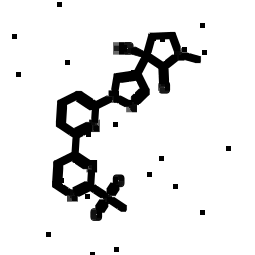 CN1CC[C@@](O)(c2cnn(-c3cccc(-c4ccnc(S(C)(=O)=O)n4)n3)c2)C1=O